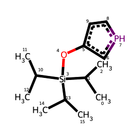 CC(C)[Si](Oc1[c][pH]cc1)(C(C)C)C(C)C